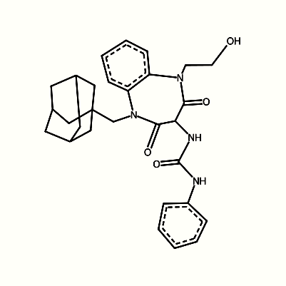 O=C(Nc1ccccc1)NC1C(=O)N(CCO)c2ccccc2N(CC23CC4CC(CC(C4)C2)C3)C1=O